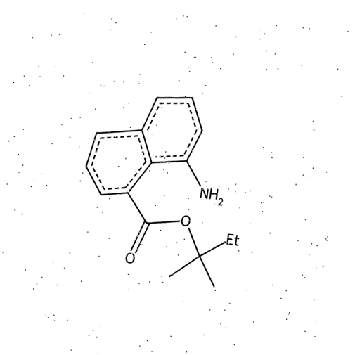 CCC(C)(C)OC(=O)c1cccc2cccc(N)c12